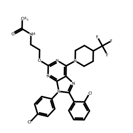 CC(=O)NCCOc1nc(N2CCC(C(F)(F)F)CC2)c2nc(-c3ccccc3Cl)n(-c3ccc(Cl)cc3)c2n1